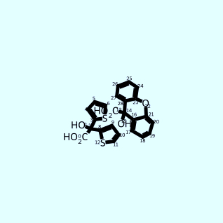 O=C(O)C(O)(c1cccs1)c1cccs1.O=C(O)C1(O)c2ccccc2Oc2ccccc21